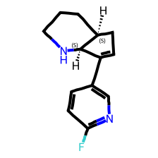 Fc1ccc(C2=CC[C@@H]3CCCN[C@H]23)cn1